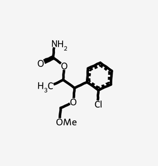 COCOC(c1ccccc1Cl)C(C)OC(N)=O